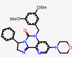 COc1cc(CN2C(=O)N3C(=NCC3c3ccccc3)c3ncc(N4CCOCC4)cc32)cc(OC)c1